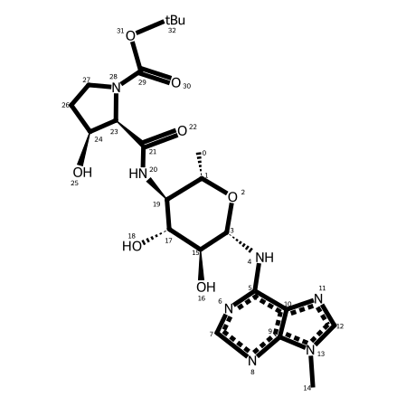 C[C@@H]1O[C@H](Nc2ncnc3c2ncn3C)[C@@H](O)[C@H](O)[C@H]1NC(=O)[C@H]1[C@@H](O)CCN1C(=O)OC(C)(C)C